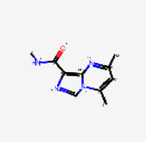 CNC(=O)c1ncn2c(C)cc(C)nc12